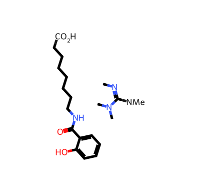 CN=C(NC)N(C)C.O=C(O)CCCCCCCNC(=O)c1ccccc1O